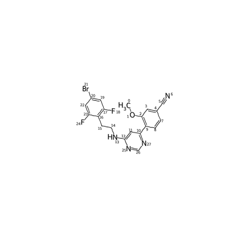 COc1cc(C#N)ccc1-c1cc(NCCc2c(F)cc(Br)cc2F)ncn1